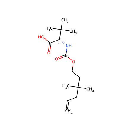 C=CCC(C)(C)CCOC(=O)N[C@H](C(=O)O)C(C)(C)C